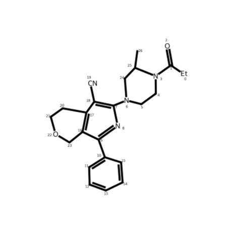 CCC(=O)N1CCN(c2nc(-c3ccccc3)c3c(c2C#N)CCOC3)CC1C